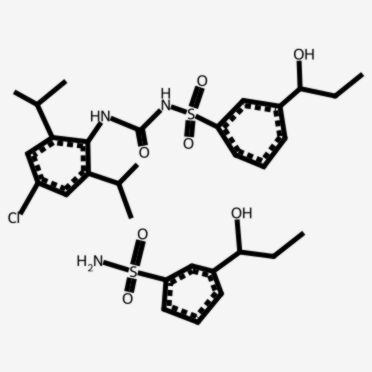 CCC(O)c1cccc(S(=O)(=O)NC(=O)Nc2c(C(C)C)cc(Cl)cc2C(C)C)c1.CCC(O)c1cccc(S(N)(=O)=O)c1